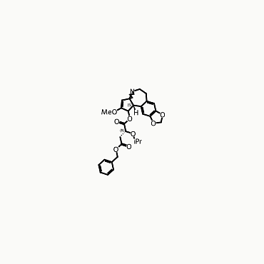 COC1=CC23CCCN2CCc2cc4c(cc2[C@@H]3C1OC(=O)[C@@H](CC(=O)OCc1ccccc1)OC(C)C)OCO4